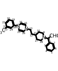 O=CC(c1ccccc1)N1CCC(CCN2C=CN(c3cccc(C(F)(F)F)c3)C=C2)CC1